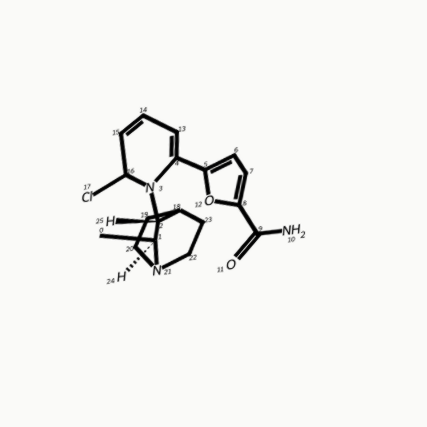 C[C@H]1[C@H](N2C(c3ccc(C(N)=O)o3)=CC=CC2Cl)C2CCN1CC2